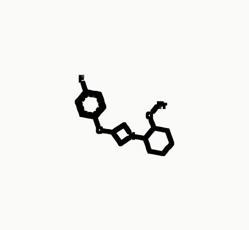 CC(C)OC1CCCCC1N1CC(Oc2ccc(F)cc2)C1